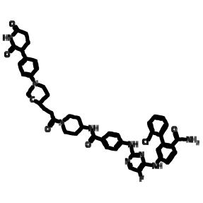 NC(=O)c1ccc(Nc2nc(Nc3ccc(C(=O)NC4CCN(C(=O)CCC5CCN(c6ccc(C7CCC(=O)NC7=O)cc6)CC5)CC4)cc3)ncc2F)cc1-c1ccccc1Cl